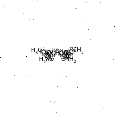 Cc1ccc(S(=O)(=O)N(C(N)=O)c2ccc(Oc3ccc(N(C(N)=O)S(=O)(=O)c4ccc(C)cc4)cc3)cc2)cc1